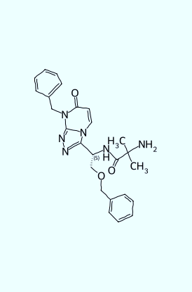 CC(C)(N)C(=O)N[C@H](COCc1ccccc1)c1nnc2n(Cc3ccccc3)c(=O)ccn12